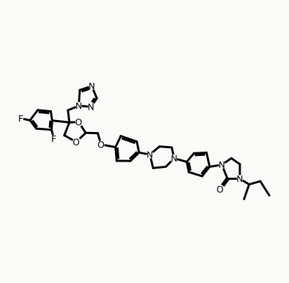 CCC(C)N1CCN(c2ccc(N3CCN(c4ccc(OCC5OCC(Cn6cncn6)(c6ccc(F)cc6F)O5)cc4)CC3)cc2)C1=O